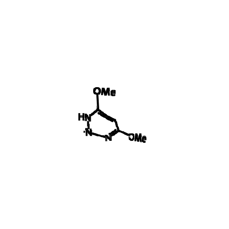 COC1=CC(OC)=N[N]N1